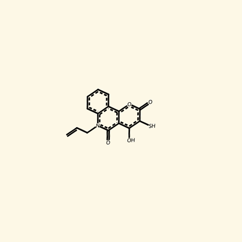 C=CCn1c(=O)c2c(O)c(S)c(=O)oc2c2ccccc21